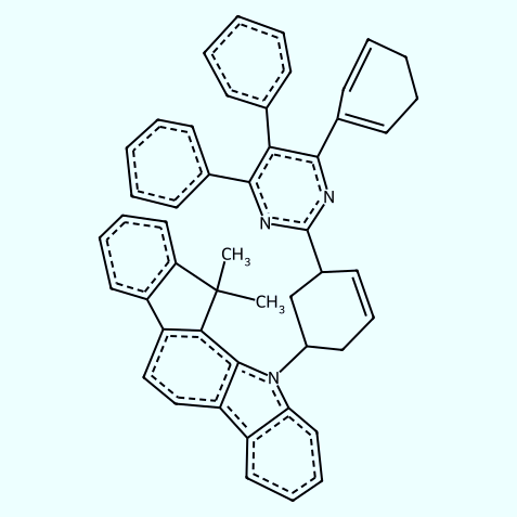 CC1(C)c2ccccc2-c2ccc3c4ccccc4n(C4CC=CC(c5nc(C6=CCCC=C6)c(-c6ccccc6)c(-c6ccccc6)n5)C4)c3c21